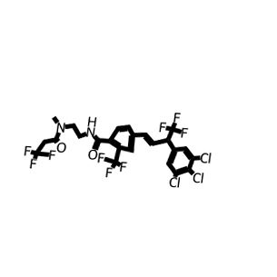 CN(CCNC(=O)c1ccc(/C=C/C(c2cc(Cl)c(Cl)c(Cl)c2)C(F)(F)F)cc1C(F)(F)F)C(=O)CC(F)(F)F